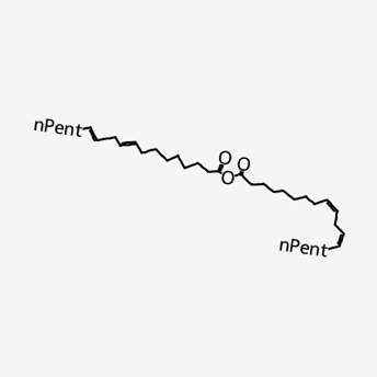 CCCCCC=CCC=CCCCCCCCC(=O)OC(=O)CCCCCCC/C=C\C/C=C\CCCCC